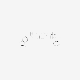 Cc1nc2cc(OC[C@H](O)CN3CCN(Cc4noc(-c5ccccc5F)n4)CC3)ccc2s1